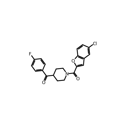 O=C(c1ccc(F)cc1)C1CCN(C(=O)c2cc3cc(Cl)ccc3o2)CC1